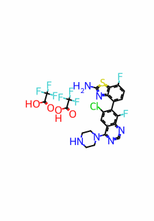 Nc1nc2c(-c3c(Cl)cc4c(N5CCNCC5)ncnc4c3F)ccc(F)c2s1.O=C(O)C(F)(F)F.O=C(O)C(F)(F)F